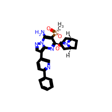 CS(=O)(=O)c1c([C@H]2C[C@H]3CC[C@@H](C2)N3C=O)nc2c(-c3ccc(-c4ccccc4)nc3)cnn2c1N